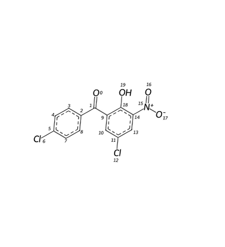 O=C(c1ccc(Cl)cc1)c1cc(Cl)cc([N+](=O)[O-])c1O